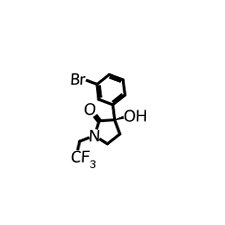 O=C1N(CC(F)(F)F)CC[C@@]1(O)c1cccc(Br)c1